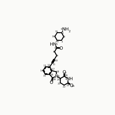 N[C@H]1CC[C@H](NC(=O)CCC#Cc2cccc3c2CN(C2CCC(=O)NC2=O)C3=O)CC1